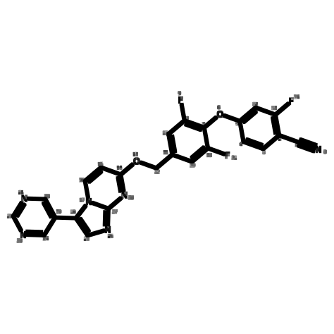 N#Cc1ccc(Oc2c(F)cc(COc3ccn4c(-c5cncnc5)cnc4n3)cc2F)cc1F